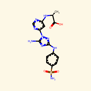 C[C@H](Nc1cc(-n2nc(Nc3ccc(S(N)(=O)=O)cc3)nc2N)ncn1)C(=O)O